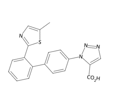 Cc1cnc(-c2ccccc2-c2ccc(-n3nncc3C(=O)O)cc2)s1